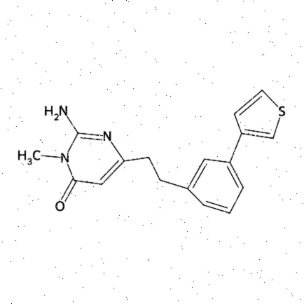 Cn1c(N)nc(CCc2cccc(-c3ccsc3)c2)cc1=O